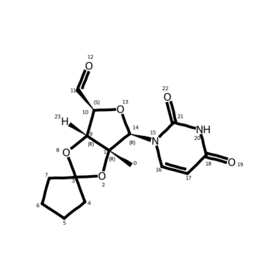 C[C@@]12OC3(CCCC3)O[C@@H]1[C@@H](C=O)O[C@H]2n1ccc(=O)[nH]c1=O